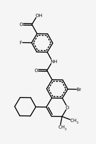 CC1(C)C=C(C2CCCCC2)c2cc(C(=O)Nc3ccc(C(=O)O)c(F)c3)cc(Br)c2O1